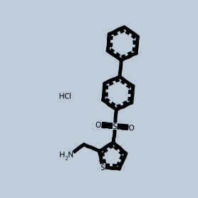 Cl.NCc1sccc1S(=O)(=O)c1ccc(-c2ccccc2)cc1